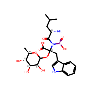 CC(C)C[C@H](N)C(=O)N([PH](=O)O)[C@](Cc1c[nH]c2ccccc12)(OC1O[C@H](C)[C@@H](O)[C@H](O)[C@@H]1O)C(=O)O